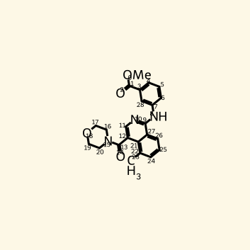 COC(=O)c1cccc(Nc2ncc(C(=O)N3CCOCC3)c3c(C)cccc23)c1